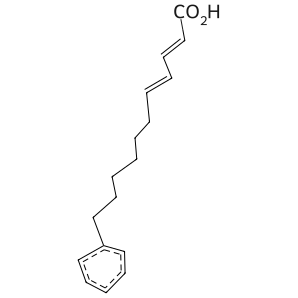 O=C(O)C=CC=CCCCCCCc1ccccc1